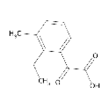 CCc1c(C)cccc1C(=O)C(=O)O